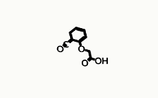 O=C=C1CC=CC=C1OCC(=O)O